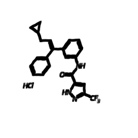 Cl.O=C(Nc1cccc(C(=CCC2CC2)c2ccccc2)c1)c1cc(C(F)(F)F)n[nH]1